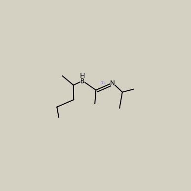 CCCC(C)B/C(C)=N/C(C)C